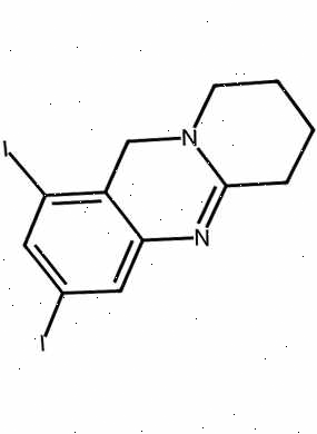 Ic1cc(I)c2c(c1)N=C1CCCCN1C2